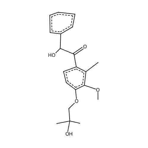 COc1c(OCC(C)(C)O)ccc(C(=O)C(O)c2ccccc2)c1C